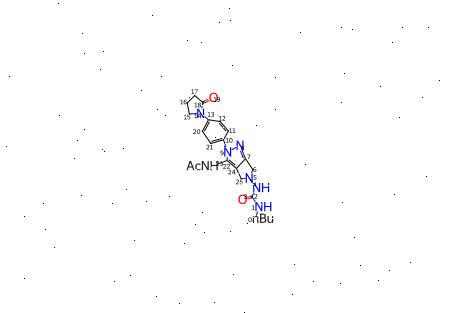 CCCCNC(=O)NN1Cc2nn(-c3ccc(N4CCCC4=O)cc3)c(NC(C)=O)c2C1